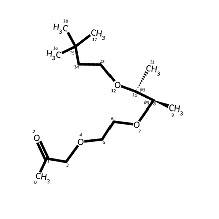 CC(=O)COCCO[C@H](C)[C@@H](C)OCCC(C)(C)C